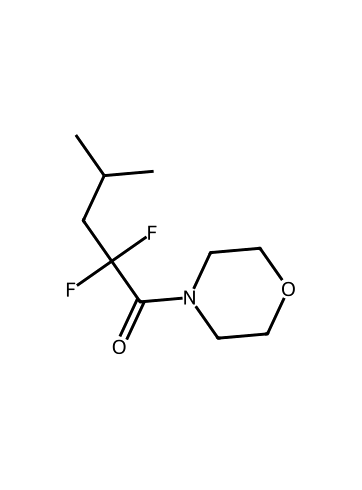 CC(C)CC(F)(F)C(=O)N1CCOCC1